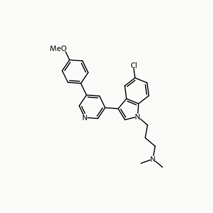 COc1ccc(-c2cncc(-c3cn(CCCN(C)C)c4ccc(Cl)cc34)c2)cc1